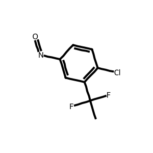 CC(F)(F)c1cc(N=O)ccc1Cl